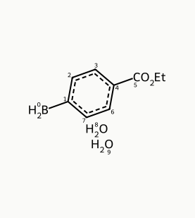 Bc1ccc(C(=O)OCC)cc1.O.O